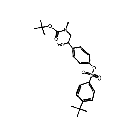 CN(CC(O)c1ccc(OS(=O)(=O)c2ccc(C(C)(C)C)cc2)cc1)C(=O)OC(C)(C)C